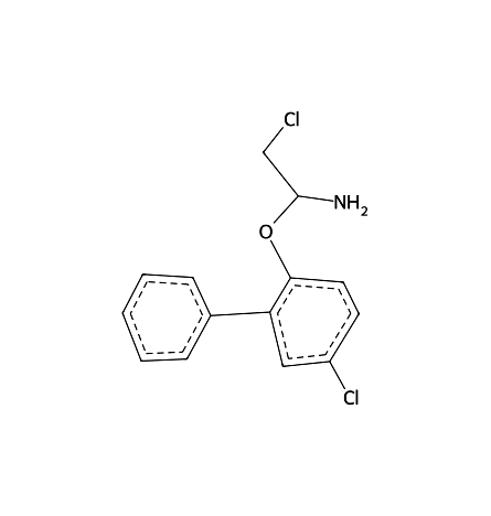 NC(CCl)Oc1ccc(Cl)cc1-c1ccccc1